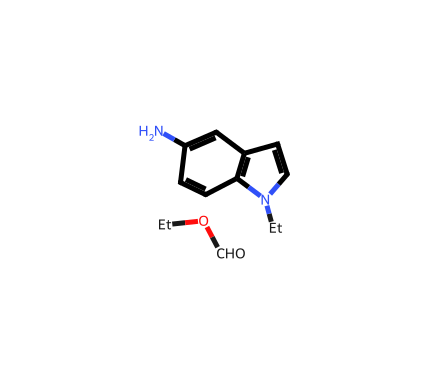 CCOC=O.CCn1ccc2cc(N)ccc21